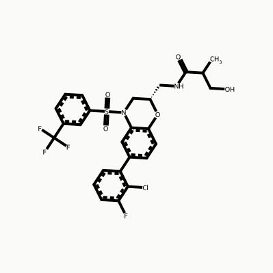 CC(CO)C(=O)NC[C@H]1CN(S(=O)(=O)c2cccc(C(F)(F)F)c2)c2cc(-c3cccc(F)c3Cl)ccc2O1